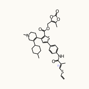 C=CS/C=C(\C)C(=O)Nc1ccc(-c2cc(C3=C(C4CCC(C)CC4)CN(C)CC3)c(C(=O)OCc3oc(=O)oc3C)s2)cc1